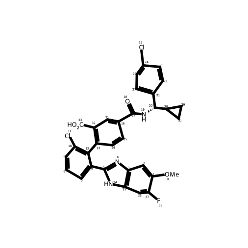 COc1cc2nc(-c3cccc(Cl)c3-c3ccc(C(=O)N[C@H](c4ccc(Cl)cc4)C4CC4)cc3C(=O)O)[nH]c2cc1F